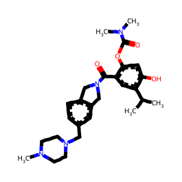 CC(C)c1cc(C(=O)N2Cc3ccc(CN4CCN(C)CC4)cc3C2)c(OC(=O)N(C)C)cc1O